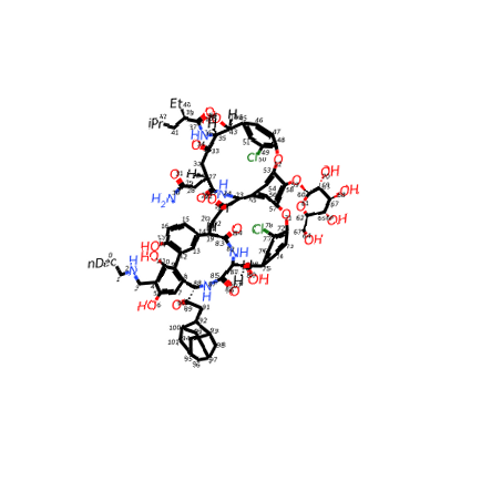 CCCCCCCCCCCNCc1c(O)cc2c(c1O)-c1cc(ccc1O)[C@H]1CC(=O)[C@@H]3NC(=O)[C@H](CC(N)=O)CC(=O)[C@H](NC(=O)[C@H](CC)CC(C)C)[C@H](O)c4ccc(c(Cl)c4)Oc4cc3cc(c4O[C@@H]3O[C@H](CO)[C@@H](O)[C@H](O)[C@H]3O)Oc3ccc(cc3Cl)[C@@H](O)[C@H](NC1=O)C(=O)N[C@@H]2C(=O)CC1C2CC3CC(C2)CC1C3